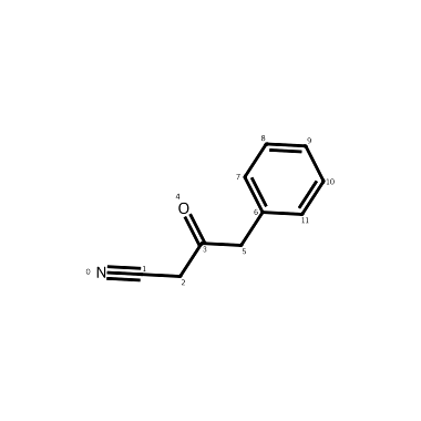 N#CCC(=O)Cc1ccccc1